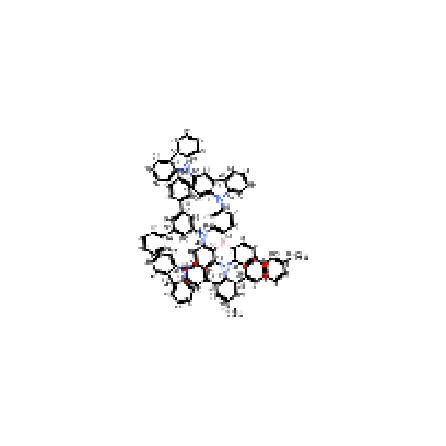 CC(C)(C)c1cccc(-c2ccc3c(c2)N(c2c(-c4ccccc4)cc(C(C)(C)C)cc2-c2ccccc2)c2cc(-n4c5ccccc5c5ccccc54)cc4c2B3c2ccc(-n3c5ccccc5c5cc(-n6c7ccccc7c7ccccc76)ccc53)cc2N4c2cc(-c3ccccc3)cc(-c3ccccc3)c2)c1